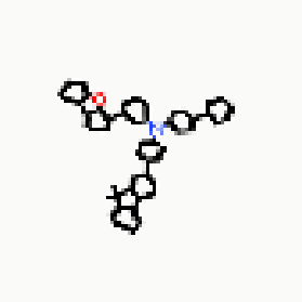 CC1(C)c2ccccc2-c2ccc(-c3ccc(N(C4=CC=C(c5ccccc5)CC4)c4cccc(-c5cccc6c5oc5ccccc56)c4)cc3)cc21